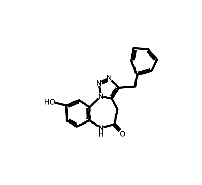 O=C1Cc2c(Cc3ccccc3)nnn2-c2cc(O)ccc2N1